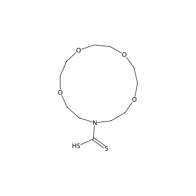 S=C(S)N1CCOCCOCCOCCOCC1